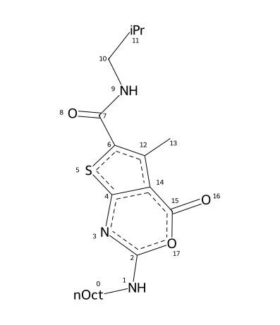 CCCCCCCCNc1nc2sc(C(=O)NCC(C)C)c(C)c2c(=O)o1